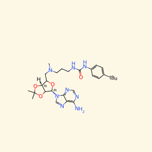 CN(CCCNC(=O)Nc1ccc(C(C)(C)C)cc1)CC1O[C@@H](n2cnc3c(N)ncnc32)C2OC(C)(C)O[C@H]12